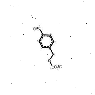 CCOC(=O)OCc1ccc(C=O)cc1